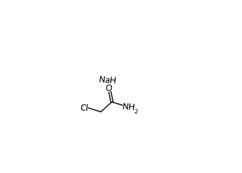 NC(=O)CCl.[NaH]